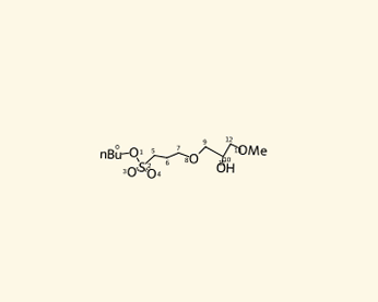 CCCCOS(=O)(=O)CCCOCC(O)COC